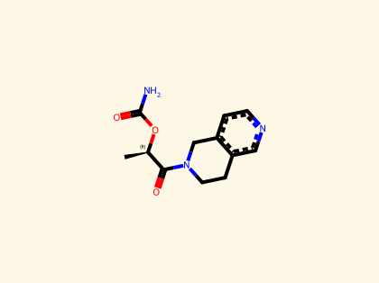 C[C@@H](OC(N)=O)C(=O)N1CCc2cnccc2C1